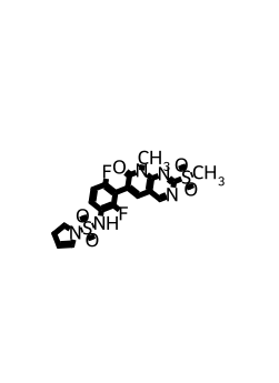 Cn1c(=O)c(-c2c(F)ccc(NS(=O)(=O)N3C=CCC3)c2F)cc2cnc(S(C)(=O)=O)nc21